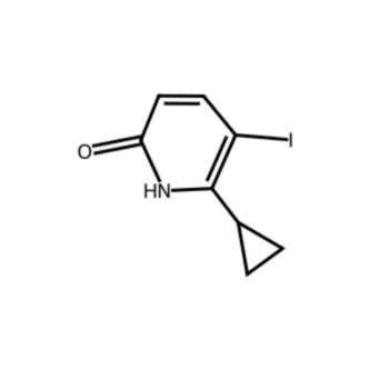 O=c1ccc(I)c(C2CC2)[nH]1